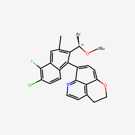 CC(=O)[C@@H](OC(C)(C)C)c1c(C)cc2c(F)c(Cl)ccc2c1-c1ccc2c3c(ccnc13)CCO2